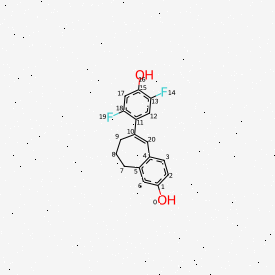 Oc1ccc2c(c1)CCCC(c1cc(F)c(O)cc1F)=C2